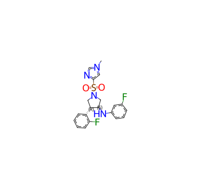 Cn1cnc(S(=O)(=O)N2C[C@@H](Nc3cccc(F)c3)[C@H](c3ccccc3F)C2)c1